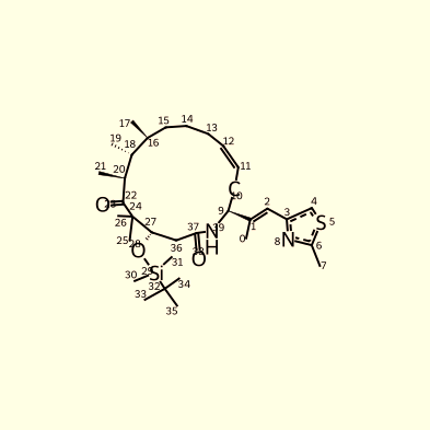 C/C(=C\c1csc(C)n1)[C@@H]1C/C=C\CCC[C@H](C)[C@@H](C)[C@H](C)C(=O)C(C)(C)[C@@H](O[Si](C)(C)C(C)(C)C)CC(=O)N1